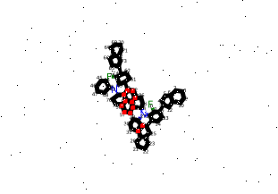 Fc1c(-c2ccc3ccccc3c2)ccc(-c2ccc3ccccc3c2)c1N(c1ccccc1)c1ccc2ccc3c(N(c4ccccc4)c4c(-c5ccc6ccccc6c5)ccc(-c5ccc6ccccc6c5)c4F)ccc4ccc1c2c43